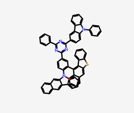 c1ccc(-c2nc(-c3ccc(-n4c5ccccc5c5cc6ccccc6cc54)c(-c4c5ccccc5cc5sc6ccccc6c45)c3)nc(-c3ccc4c(c3)c3ccccc3n4-c3ccccc3)n2)cc1